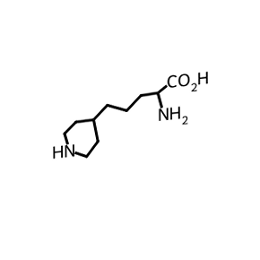 NC(CCCC1CCNCC1)C(=O)O